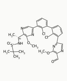 COc1nc(-c2cccc(-c3cccc(-c4cnc([C@@H](C)N[S+]([O-])C(C)(C)C)c(OC)n4)c3Cl)c2Cl)cnc1C=O